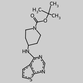 CC(C)(C)OC(=O)N1CCC(Nc2ncnc3sccc23)CC1